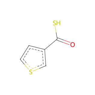 O=C(S)c1ccsc1